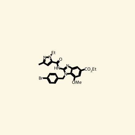 CCOC(=O)c1cc(OC)c2c(c1)nc(NC(=O)c1cc(C)nn1CC)n2Cc1ccc(Br)cc1